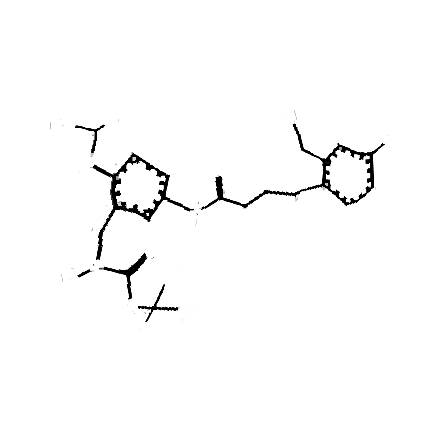 CCc1cc(Br)ccc1CCCC(=O)Nc1ccc(SC(C)C)c(CN(C)C(=O)OC(C)(C)C)c1